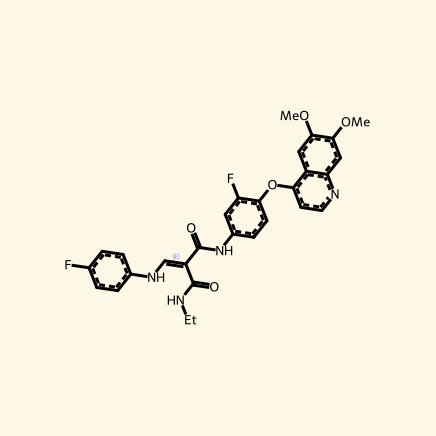 CCNC(=O)/C(=C\Nc1ccc(F)cc1)C(=O)Nc1ccc(Oc2ccnc3cc(OC)c(OC)cc23)c(F)c1